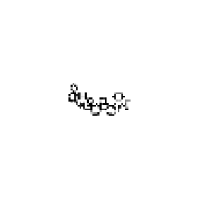 COc1nc(-c2cccc(-c3ccccc3C(F)(F)F)c2Cl)ccc1CNC[C@@H]1CCC(=O)N1